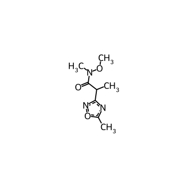 CON(C)C(=O)C(C)c1noc(C)n1